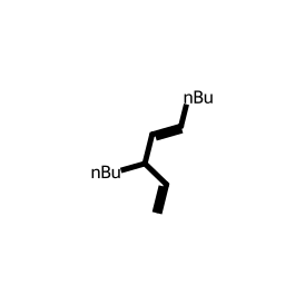 C=CC(C=CCCCC)CCCC